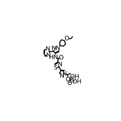 CCOC1CCC(n2cc(NC(=O)c3csc(-c4cnn(C(C)OP(=O)(O)O)c4)n3)c(-c3ncccn3)n2)CC1